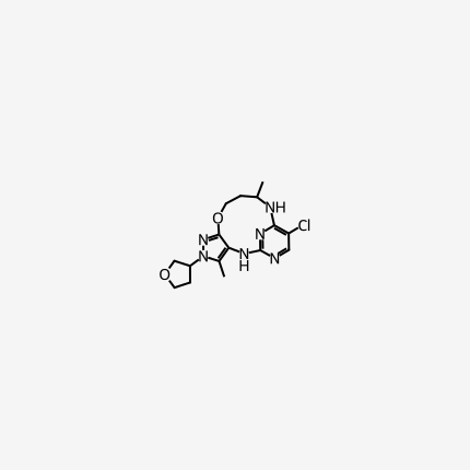 Cc1c2c(nn1C1CCOC1)OCCC(C)Nc1nc(ncc1Cl)N2